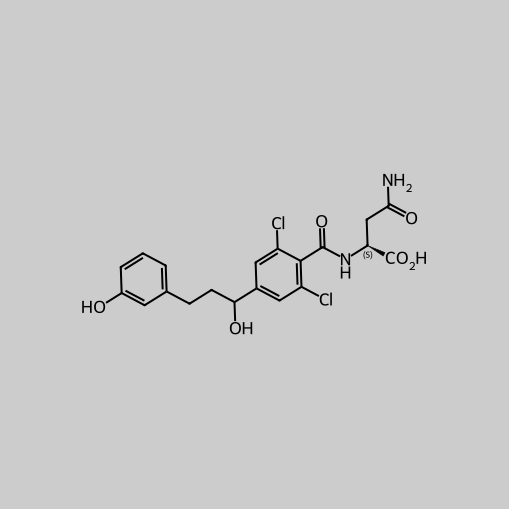 NC(=O)C[C@H](NC(=O)c1c(Cl)cc(C(O)CCc2cccc(O)c2)cc1Cl)C(=O)O